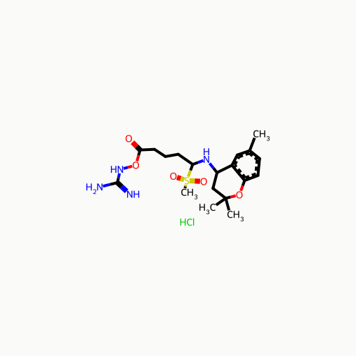 Cc1ccc2c(c1)C(NC(CCCC(=O)ONC(=N)N)S(C)(=O)=O)CC(C)(C)O2.Cl